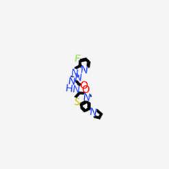 CN1C(=O)[C@@H](NC(=O)c2ncn(Cc3ncccc3F)n2)CSc2ccc(N3CCCC3)cc21